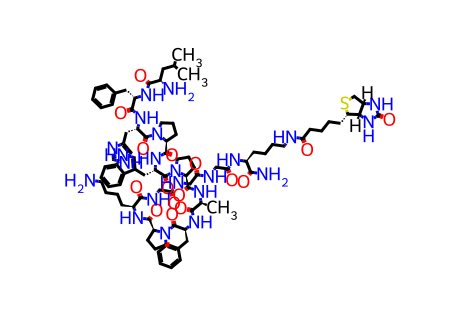 CC(C)C[C@H](N)C(=O)N[C@@H](Cc1ccccc1)C(=O)N[C@@H](Cc1c[nH]cn1)C(=O)N1CCC[C@H]1C(=O)N[C@@H](Cc1c[nH]c2ccccc12)C(=O)N1CCC[C@H]1C(=O)N[C@@H](C)C(=O)N[C@@H](Cc1ccccc1)C(=O)N1CCC[C@H]1C(=O)N[C@@H](CCCCN)C(=O)NCC(=O)NCC(=O)NCC(=O)N[C@@H](CCCCNC(=O)CCCC[C@@H]1SC[C@@H]2NC(=O)N[C@@H]21)C(N)=O